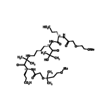 COCCOCC(=O)N[C@@H](CCC(=O)O)C(=O)N[C@@H](CCCCNC(C)(C)C(=O)[C@H](CCC(=O)O)NC(=O)COC(C)(C)CCOC(C)(C)C)C(=O)C(C)(C)O